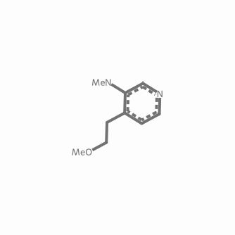 CNc1[c]nccc1CCOC